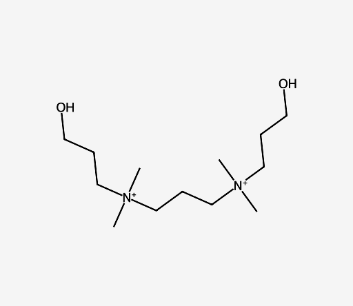 C[N+](C)(CCCO)CCC[N+](C)(C)CCCO